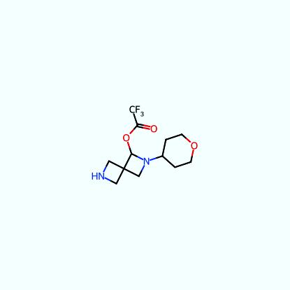 O=C(OC1N(C2CCOCC2)CC12CNC2)C(F)(F)F